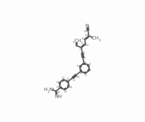 C=C/C(C#Cc1cccc(C#Cc2ccc(C(=N)N)cc2)c1)=C\C=C(/C)C#N